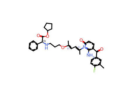 C/C(=C\C=C(/C)n1c(N)c(C(=O)c2ccc(F)c(C)c2)ccc1=O)OCCCN[C@H](C(=O)OC1CCCC1)c1ccccc1